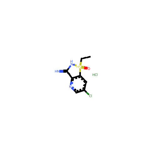 CC[SH]1(=O)NC(=N)c2ncc(Cl)cc21.Cl